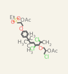 C=C(Cl)/C(OC[C@H](CCl)OC(C)=O)=C(Cl)\C=C(/C)C(C)(C)c1ccc(OC[C@@H](CS(=O)(=O)CC)OC(C)=O)cc1